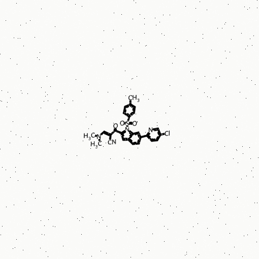 Cc1ccc(S(=O)(=O)n2c(C(=O)/C(C#N)=C/N(C)C)cc3ccc(-c4ccc(Cl)cn4)cc32)cc1